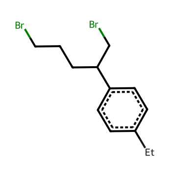 CCc1ccc(C(CBr)CCCBr)cc1